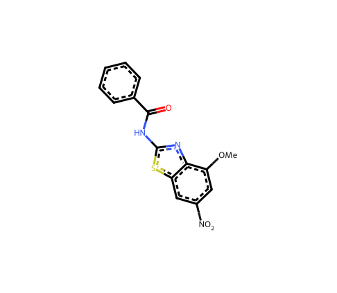 COc1cc([N+](=O)[O-])cc2sc(NC(=O)c3ccccc3)nc12